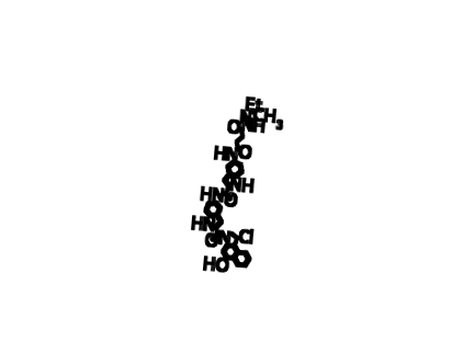 CC/C(C)=N/NC(=O)CCC(=O)Nc1ccc2[nH]c(C(=O)Nc3ccc4[nH]c(C(=O)N5CC(Cl)c6c5cc(O)c5ccccc65)cc4c3)cc2c1